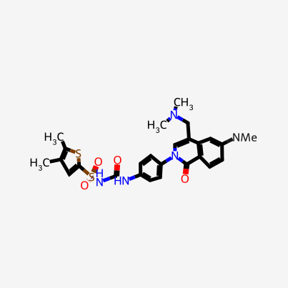 CNc1ccc2c(=O)n(-c3ccc(NC(=O)NS(=O)(=O)c4cc(C)c(C)s4)cc3)cc(CN(C)C)c2c1